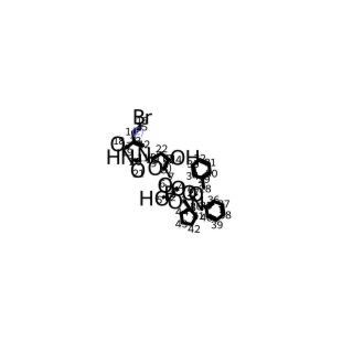 O=C(OP(=O)(O)OC[C@H]1O[C@@H](n2cc(/C=C/Br)c(=O)[nH]c2=O)C[C@@H]1O)C1(N(OCc2ccccc2)c2ccccc2)CCCC1